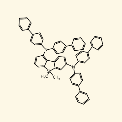 C[Si]1(C)c2cc(N(c3ccc(-c4ccccc4)cc3)c3ccc(-c4ccccc4)cc3)ccc2-c2c(N(c3ccc(-c4ccccc4)cc3)c3ccc(-c4ccccc4)cc3)cccc21